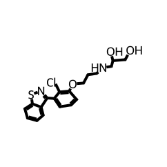 OCC(O)CNCCCOc1cccc(-c2nsc3ccccc23)c1Cl